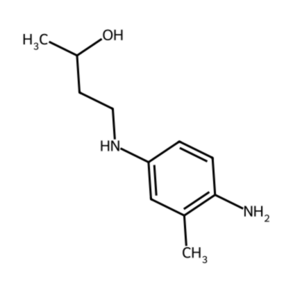 Cc1cc(NCCC(C)O)ccc1N